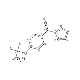 CCOC(=O)C(C)(C)Oc1ccc(C(=O)c2cccs2)cc1